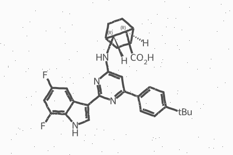 CC(C)(C)c1ccc(-c2cc(N[C@@H]3C4CCC(CC4)[C@H]3C(=O)O)nc(-c3c[nH]c4c(F)cc(F)cc34)n2)cc1